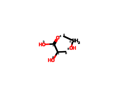 CC(O)C(=O)O.C[SiH2]O